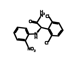 NC(=O)[C@H](Nc1ccccc1[N+](=O)[O-])c1c(Cl)cccc1Cl